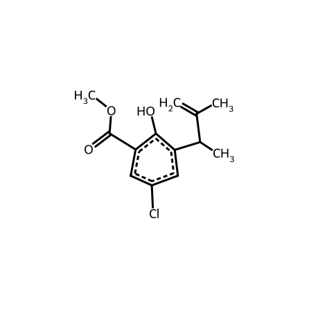 C=C(C)C(C)c1cc(Cl)cc(C(=O)OC)c1O